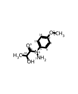 COc1ccc(N(N)C(=O)C(C)O)cc1